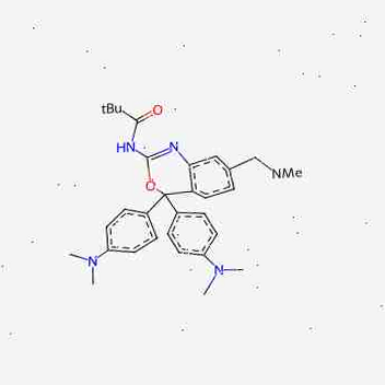 CNCc1ccc2c(c1)N=C(NC(=O)C(C)(C)C)OC2(c1ccc(N(C)C)cc1)c1ccc(N(C)C)cc1